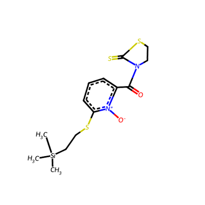 C[Si](C)(C)CCSc1cccc(C(=O)N2CCSC2=S)[n+]1[O-]